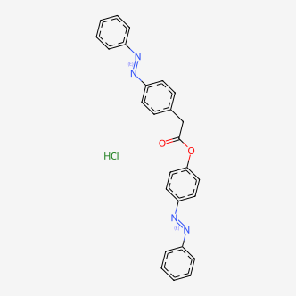 Cl.O=C(Cc1ccc(/N=N/c2ccccc2)cc1)Oc1ccc(/N=N/c2ccccc2)cc1